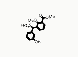 COC(=O)c1cccc(C(c2cccc(O)c2)S(=O)(=O)O)c1OC